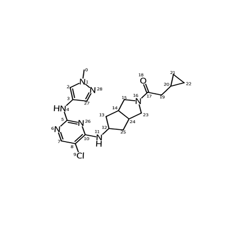 Cn1cc(Nc2ncc(Cl)c(NC3CC4CN(C(=O)CC5CC5)CC4C3)n2)cn1